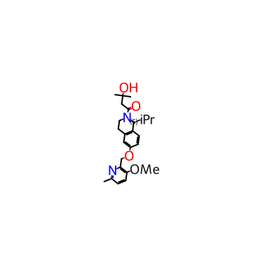 COc1ccc(C)nc1COc1ccc2c(c1)CCN(C(=O)CC(C)(C)O)[C@H]2C(C)C